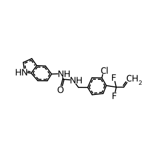 C=CC(F)(F)c1ccc(CNC(=O)Nc2ccc3[nH]ccc3c2)cc1Cl